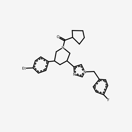 CCc1ccc(C2CC(c3cn(Cc4ccc(F)cc4)cn3)CN(C(=O)C3CCCC3)C2)cc1